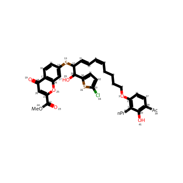 CCCc1c(OCCCC/C=C\C=C\C(Sc2ccc3c(=O)cc(C(=O)OC)oc3c2)C(O)c2ccc(Cl)s2)ccc(C(C)=O)c1O